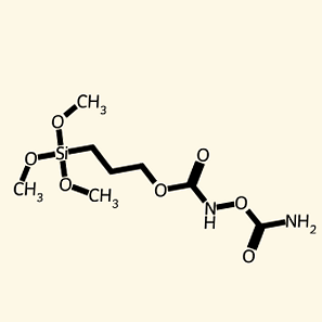 CO[Si](CCCOC(=O)NOC(N)=O)(OC)OC